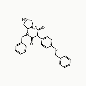 NC(=O)C(C(=O)N(Cc1ccccc1)C1CCNC1)c1ccc(OCc2ccccc2)cc1